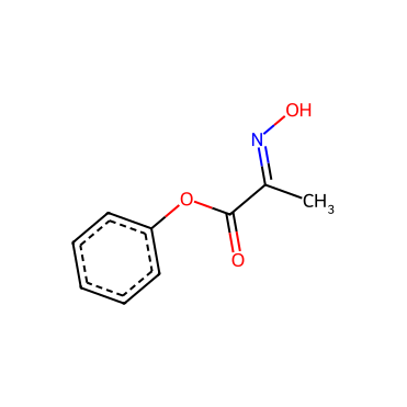 CC(=NO)C(=O)Oc1ccccc1